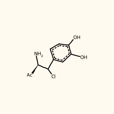 CC(=O)[C@@H](N)C(Cl)c1ccc(O)c(O)c1